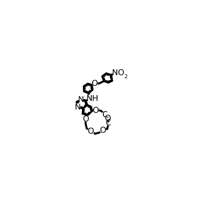 O=[N+]([O-])c1ccc(COc2cccc(Nc3ncnc4cc5c(cc34)OCCOCCOCCOCCO5)c2)cc1